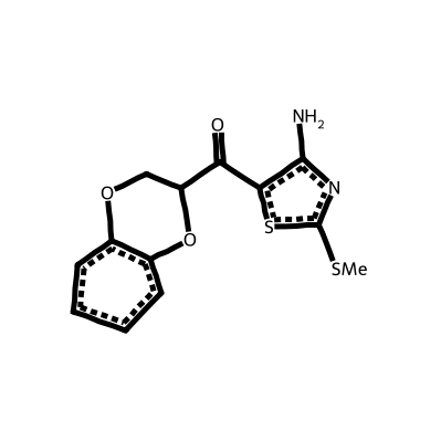 CSc1nc(N)c(C(=O)C2COc3ccccc3O2)s1